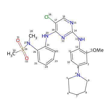 COc1cc(N2CC[CH]CC2)ccc1Nc1ncc(Cl)c(Nc2ccccc2N(C)S(C)(=O)=O)n1